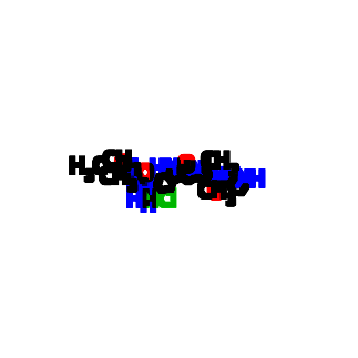 Cc1[nH]c(C=C2C(=O)Nc3cc(NC(=O)Nc4cc(C(C)(C)C)on4)ccc32)c(C)c1NC(=O)C1CCCNC1.Cl